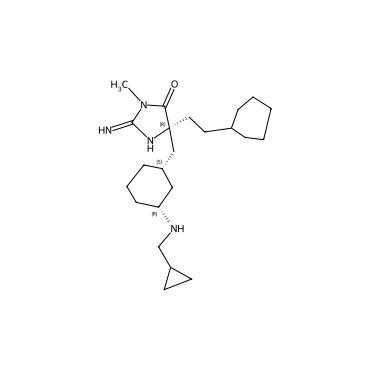 CN1C(=N)N[C@](CCC2CCCCC2)(C[C@H]2CCC[C@@H](NCC3CC3)C2)C1=O